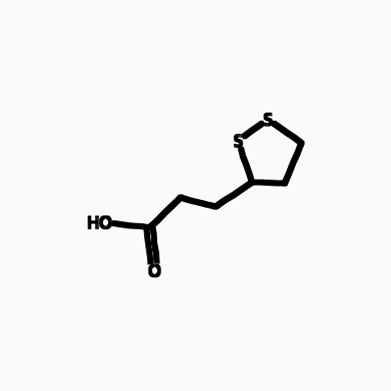 O=C(O)CCC1CCSS1